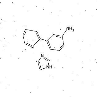 Nc1cccc(-c2ccccn2)c1.c1c[nH]cn1